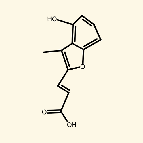 Cc1c(/C=C/C(=O)O)oc2cccc(O)c12